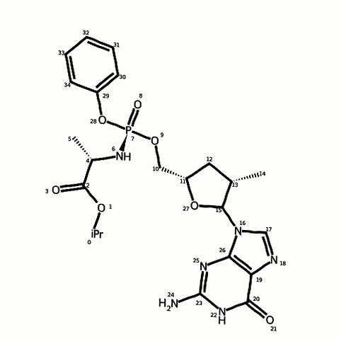 CC(C)OC(=O)[C@H](C)N[P@@](=O)(OC[C@@H]1C[C@H](C)C(n2cnc3c(=O)[nH]c(N)nc32)O1)Oc1ccccc1